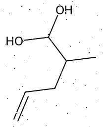 C=CCC(C)[C](O)O